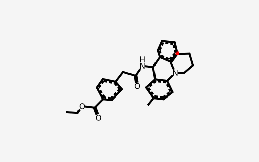 CCOC(=O)c1ccc(CC(=O)NC(c2ccccc2)c2cc(C)ccc2N2CCCCC2)cc1